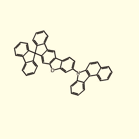 c1ccc2c(c1)-c1ccccc1C21c2ccccc2-c2cc3c(cc21)oc1cc(-n2c4ccccc4c4c5ccccc5ccc42)ccc13